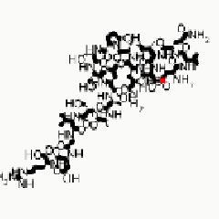 CC[C@H](C)[C@H](NC(=O)[C@H](CCC(N)=O)NC(=O)[C@@H](NC(=O)[C@@H](N)CC(=O)O)C(C)C)C(=O)N[C@H](C(=O)N[C@@H](CCC(N)=O)C(=O)N[C@@H](CO)C(=O)N1CCC[C@H]1C(=O)N[C@@H](CO)C(=O)N[C@@H](CO)C(=O)N[C@@H](CC(C)C)C(=O)N[C@@H](CO)C(=O)N[C@@H](C)C(=O)N[C@@H](CO)C(=O)N[C@H](C(=O)NCC(=O)N[C@@H](CC(=O)O)C(=O)N[C@@H](CCCNC(=N)N)C(=O)O)C(C)C)[C@@H](C)O